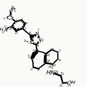 CC(C)Oc1ccc(-c2nnc(C3=CCCC4=C3CCC[C@@H]4NCCO)s2)cc1N